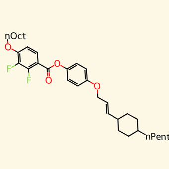 CCCCCCCCOc1ccc(C(=O)Oc2ccc(OCC=CC3CCC(CCCCC)CC3)cc2)c(F)c1F